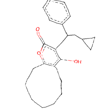 O=c1oc2c(c(O)c1C(c1ccccc1)C1CC1)CCCCCCC2